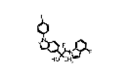 CC(O)(c1ccc2c(cnn2-c2ccc(F)cc2)c1)C(F)n1ccc2c(F)cccc21